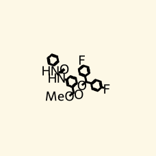 COC(=O)c1cc(NC(=O)Nc2ccccc2)ccc1OC(c1ccc(F)cc1)c1ccc(F)cc1